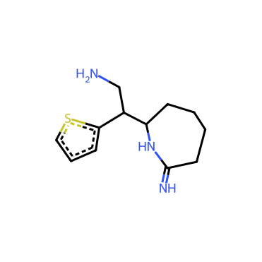 N=C1CCCCC(C(CN)c2cccs2)N1